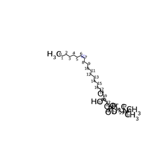 CCCCCC/C=C\CCCCCCCCCCOC[C@@H](O)COP(=O)([O-])OCC[N+](C)(C)C